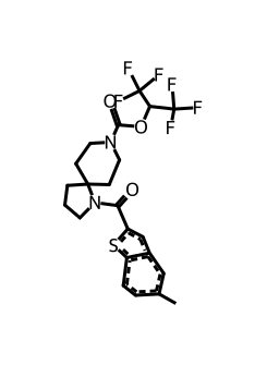 Cc1ccc2sc(C(=O)N3CCCC34CCN(C(=O)OC(C(F)(F)F)C(F)(F)F)CC4)cc2c1